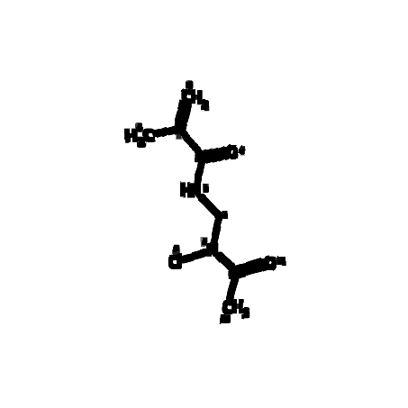 C=C(C)C(=O)NCN(Cl)C(C)=O